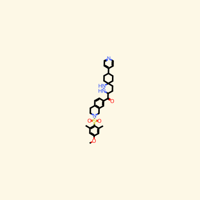 COc1cc(C)c(S(=O)(=O)N2CCc3ccc(C(=O)C4CCC5(CCC(c6ccncc6)CC5)NN4)cc3C2)c(C)c1